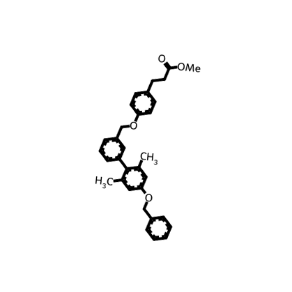 COC(=O)CCc1ccc(OCc2cccc(-c3c(C)cc(OCc4ccccc4)cc3C)c2)cc1